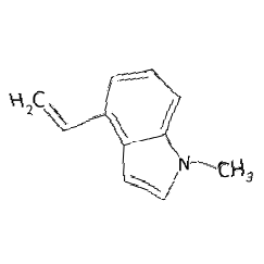 C=Cc1cccc2c1ccn2C